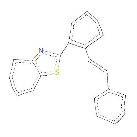 C(=Cc1ccccc1-c1nc2ccccc2s1)c1ccccc1